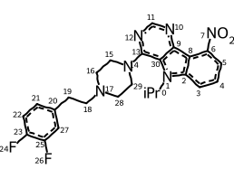 CC(C)n1c2cccc([N+](=O)[O-])c2c2ncnc(N3CCN(CCc4ccc(F)c(F)c4)CC3)c21